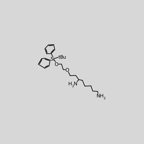 CC(C)(C)[Si](OCCOCCC(N)CCCCCN)(c1ccccc1)c1ccccc1